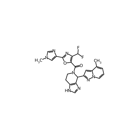 Cc1cccn2nc(C3c4nc[nH]c4CCN3C(=O)c3oc(-c4cn(C)cn4)nc3C(F)F)cc12